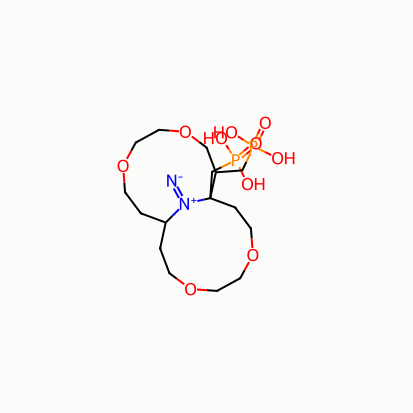 [N-]=[N+]1C2CCOCCOCCC1(CP(=O)(O)O)C(CP(=O)(O)O)COCCOCC2